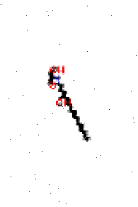 CCCCCCCCC=CCCCC(CO)CCCC1=NC(CO)CO1